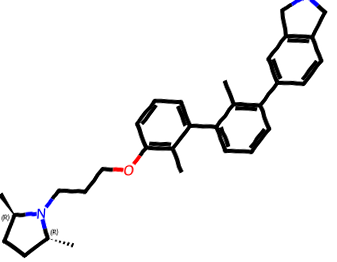 Cc1c(OCCCN2[C@H](C)CC[C@H]2C)cccc1-c1cccc(-c2ccc3c(c2)CNC3)c1C